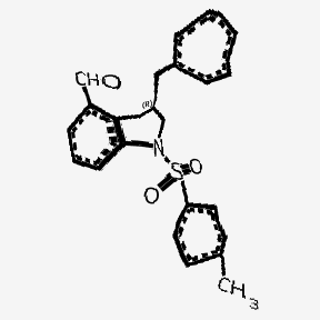 Cc1ccc(S(=O)(=O)N2C[C@H](Cc3ccccc3)c3c(C=O)cccc32)cc1